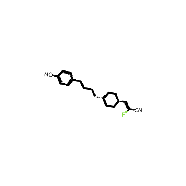 N#CC(F)=C[C@H]1CC[C@H](CCCCc2ccc(C#N)cc2)CC1